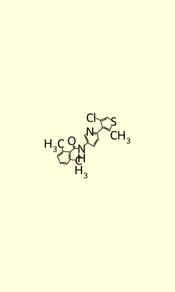 Cc1cccc(C)c1C(=O)Nc1ccc(-c2c(Cl)csc2C)nc1